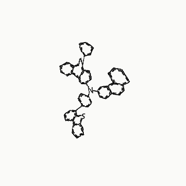 c1ccc(-n2c3ccccc3c3cc(N(c4ccc(-c5cccc6c5sc5ccccc56)cc4)c4ccc5ccc6ccccc6c5c4)ccc32)cc1